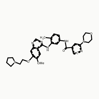 COc1cc2c(Nc3cc(NC(=O)c4ccnc(N5CCOCC5)c4)ccc3C)ncnc2cc1OCCN1CCCC1